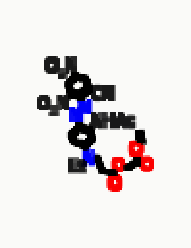 C=COC(=O)COC(=O)CCN(CC)c1ccc(N=Nc2c(C#N)cc([N+](=O)[O-])cc2[N+](=O)[O-])c(NC(C)=O)c1